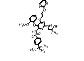 COc1ccccc1Oc1c(NS(=O)(=O)c2ccc(C(C)(C)C)cc2)nc(NCC(C)O)nc1OCCOc1ncc(Br)cn1